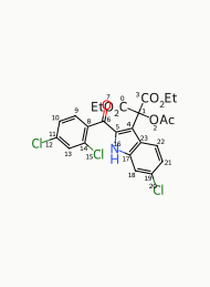 CCOC(=O)C(OC(C)=O)(C(=O)OCC)c1c(C(=O)c2ccc(Cl)cc2Cl)[nH]c2cc(Cl)ccc12